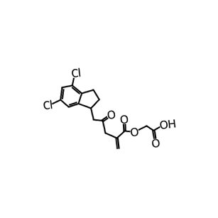 C=C(CC(=O)CC1CCc2c(Cl)cc(Cl)cc21)C(=O)OCC(=O)O